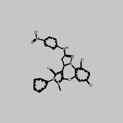 Cc1c(C2CC(Nc3ccc([N+](=O)[O-])cc3)=NN2c2c(Cl)cc(Cl)cc2Cl)c(=O)n(-c2ccccc2)n1C